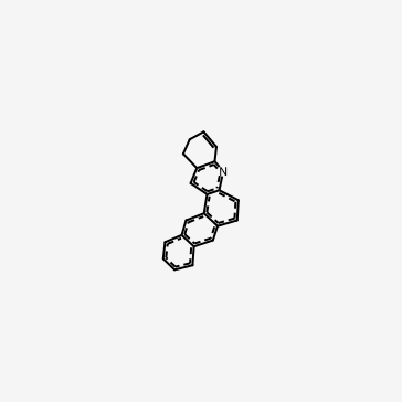 C1=Cc2nc3ccc4cc5ccccc5cc4c3cc2CC1